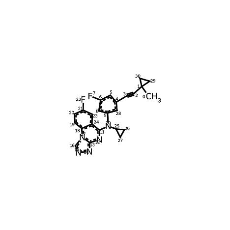 CC1(C#Cc2cc(F)cc(N(c3nc4nncn4c4ccc(F)cc34)C3CC3)c2)CC1